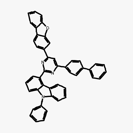 c1ccc(-c2ccc(-c3cc(-c4ccc5c(c4)oc4ccccc45)nc(-c4cccc5c4c4ccccc4n5-c4ccccc4)n3)cc2)cc1